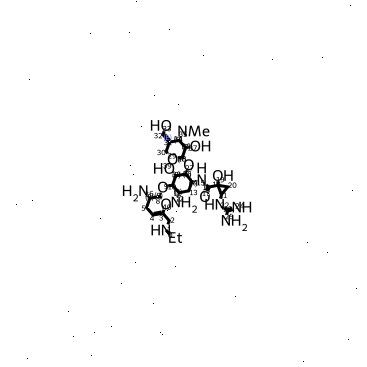 CCNCC1=CC[C@@H](N)[C@@H](OC2[C@@H](N)C[C@@H](NC(=O)C3(O)CC3NC(=N)N)[C@H](O[C@H]3OC/C(=C/O)[C@H](NC)[C@H]3O)[C@H]2O)O1